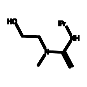 C=C(NC(C)C)N(C)CCO